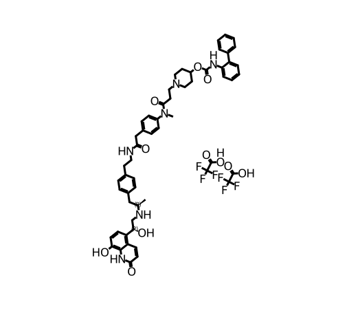 C[C@H](Cc1ccc(CCNC(=O)Cc2ccc(N(C)C(=O)CCN3CCC(OC(=O)Nc4ccccc4-c4ccccc4)CC3)cc2)cc1)NC[C@H](O)c1ccc(O)c2[nH]c(=O)ccc12.O=C(O)C(F)(F)F.O=C(O)C(F)(F)F